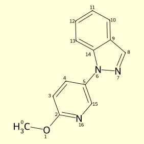 COc1ccc(-n2ncc3ccccc32)cn1